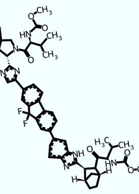 COC(=O)N[C@H](C(=O)C1[C@@H]2CC[C@@H](C2)[C@H]1c1nc2ccc(-c3ccc4c(c3)C(F)(F)c3cc(-c5c[nH]c([C@@H]6CC7(CC7)CN6C(=O)[C@@H](NC(=O)OC)C(C)C)n5)ccc3-4)cc2[nH]1)C(C)C